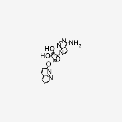 Nc1ncnc2c1ccn2[C@@H]1O[C@H](COc2ccc3cccnc3n2)[C@@H](O)[C@H]1O